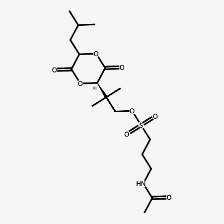 CC(=O)NCCCS(=O)(=O)OCC(C)(C)[C@H]1OC(=O)C(CC(C)C)OC1=O